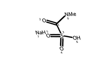 CNC(=O)S(=O)(=O)O.[NaH]